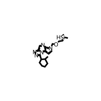 CC1CCCCC1c1nnc2cnc3c(ccn3COCC[SiH](C)C)n12